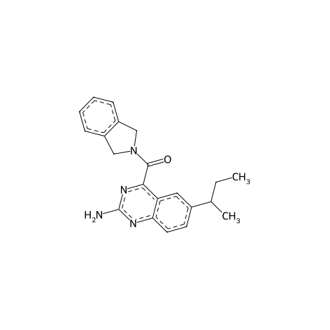 CCC(C)c1ccc2nc(N)nc(C(=O)N3Cc4ccccc4C3)c2c1